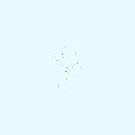 CCCCC(CC)COP(=O)(OCCO)OCC(CC)CCCC